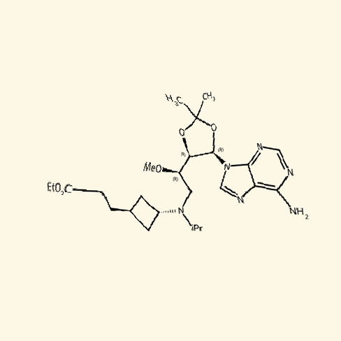 CCOC(=O)CC[C@H]1C[C@H](N(C[C@@H](OC)[C@H]2OC(C)(C)O[C@H]2n2cnc3c(N)ncnc32)C(C)C)C1